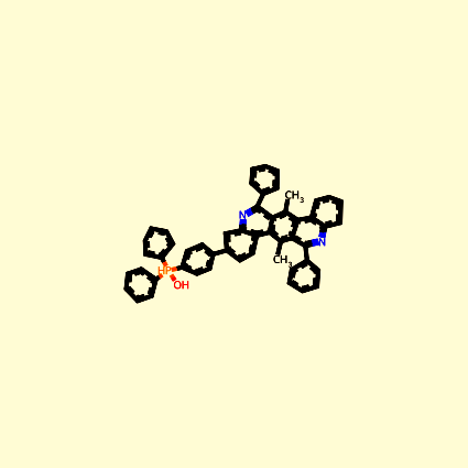 Cc1c2c(-c3ccccc3)nc3cc(-c4ccc([PH](O)(c5ccccc5)c5ccccc5)cc4)ccc3c2c(C)c2c(-c3ccccc3)nc3ccccc3c12